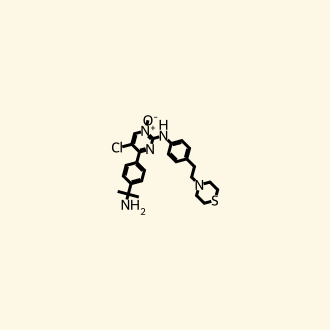 CC(C)(N)c1ccc(-c2nc(Nc3ccc(CCN4CCSCC4)cc3)[n+]([O-])cc2Cl)cc1